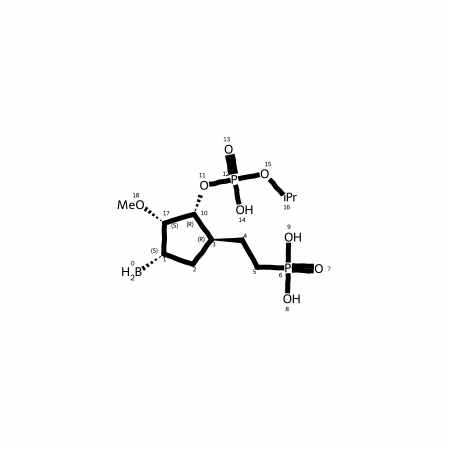 B[C@H]1C[C@H](CCP(=O)(O)O)[C@@H](OP(=O)(O)OC(C)C)[C@H]1OC